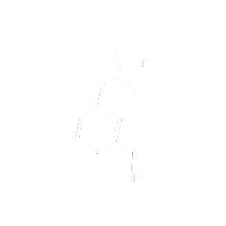 CC(C)Cc1cccc(OS(=O)(=O)F)c1